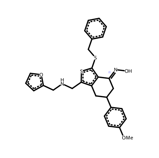 COc1ccc(C2C/C(=N\O)c3c(SCc4ccccc4)sc(CNCc4ccco4)c3C2)cc1